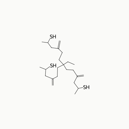 C=C(CCC(CC)(CCC(=C)CC(C)S)CCC(=C)CC(C)S)CC(C)S